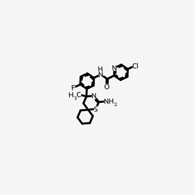 CC1(c2cc(NC(=O)c3ccc(Cl)cn3)ccc2F)CC2(CCCCC2)SC(N)=N1